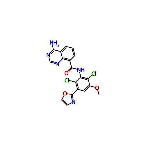 COc1cc(-c2ncco2)c(Cl)c(NC(=O)c2cccc3c(N)ncnc23)c1Cl